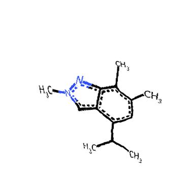 Cc1cc(C(C)C)c2cn(C)nc2c1C